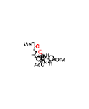 COC(=O)CCC(C)[C@H]1CC[C@H]2[C@@H]3[C@H](OC(C)=O)C[C@@H]4C[C@H](OC(C)=O)CC[C@]4(C)[C@H]3CC(=O)[C@]12C